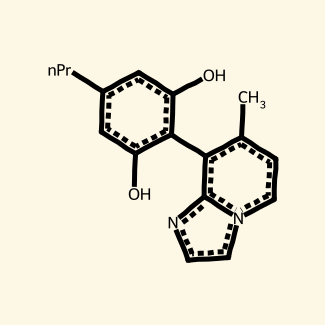 CCCc1cc(O)c(-c2c(C)ccn3ccnc23)c(O)c1